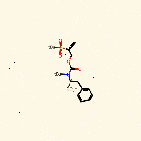 C=C(COC(=O)N([C@@H](Cc1ccccc1)C(=O)O)C(C)(C)C)S(=O)(=O)C(C)(C)C